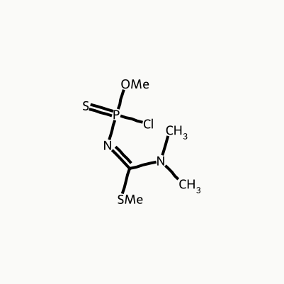 COP(=S)(Cl)N=C(SC)N(C)C